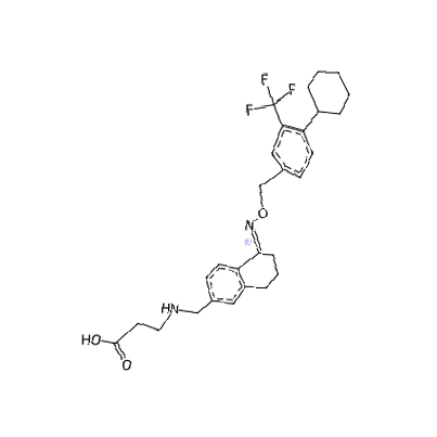 O=C(O)CCNCc1ccc2c(c1)CCC/C2=N\OCc1ccc(C2CCCCC2)c(C(F)(F)F)c1